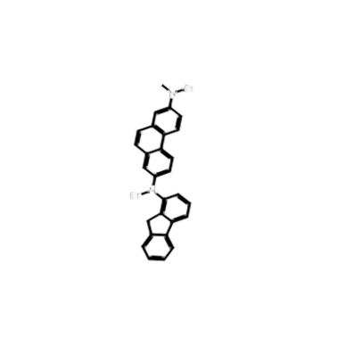 CCN(C)c1ccc2c(ccc3cc(N(CC)c4cccc5c4Cc4ccccc4-5)ccc32)c1